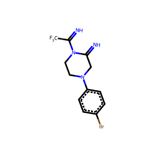 N=C1CN(c2ccc(Br)cc2)CCN1C(=N)C(F)(F)F